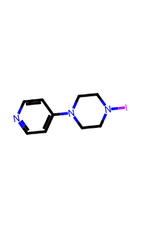 IN1CCN(c2ccncc2)CC1